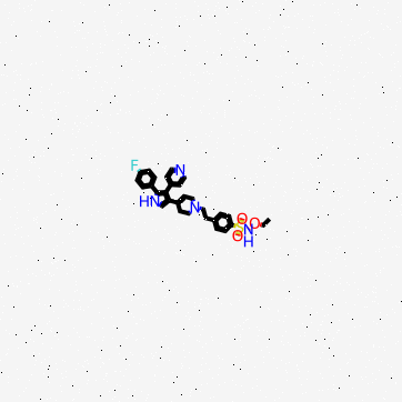 CCONS(=O)(=O)c1ccc(CCN2CC=C(c3c[nH]c(-c4ccc(F)cc4)c3-c3ccncc3)CC2)cc1